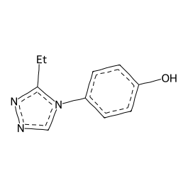 CCc1nncn1-c1ccc(O)cc1